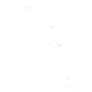 CNC1=C(C(=O)c2ccc(NC(=O)CC(=O)NCCOCCCNC(C)=O)cc2)CCCC1